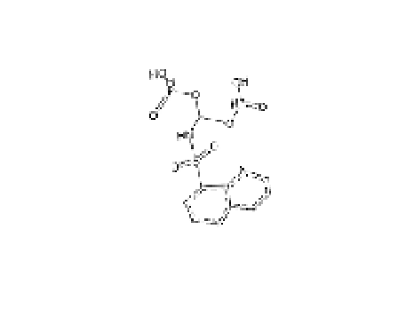 O=[PH](O)OC(NS(=O)(=O)c1cccc2cccnc12)O[PH](=O)O